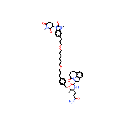 C[C@@H](OCc1ccc(CCCOCCCCCCOCCCc2ccc3c(c2)n(C)c(=O)n3C2CCC(=O)N(C)C2=O)cc1)[C@H](CCC(N)=O)NC(=O)[C@@H]1Cc2cccc3c2N1C(=O)CCC3